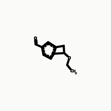 CCOC1Cc2cc(C=O)ccc21